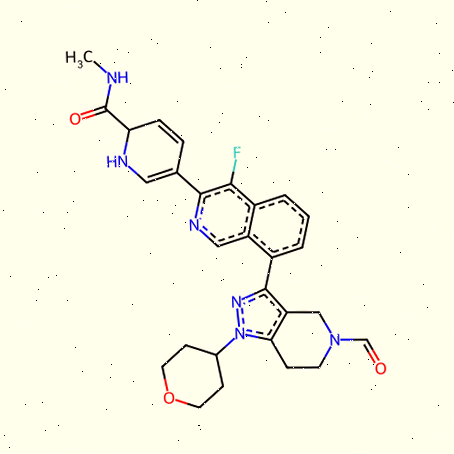 CNC(=O)C1C=CC(c2ncc3c(-c4nn(C5CCOCC5)c5c4CN(C=O)CC5)cccc3c2F)=CN1